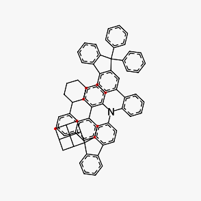 c1ccc(C2(c3ccccc3)c3ccccc3-c3ccc(-c4ccccc4N(c4ccc5c(c4)C4(c6ccccc6-5)C5CC6CC7CC4C675)c4ccccc4-c4cccc5cccc(C6CCCCC6)c45)cc32)cc1